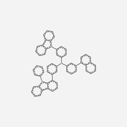 c1ccc(-n2c3ccccc3c3cccc(-c4cccc(N(c5cccc(-c6cccc7ccccc67)c5)c5cccc(-n6c7ccccc7c7ccccc76)c5)c4)c32)cc1